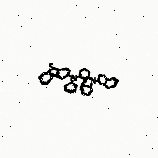 c1ccc(N(c2ccc3sc4ccccc4c3c2)c2cccc3c2c2ccccc2n3-c2ccc3ccccc3c2)cc1